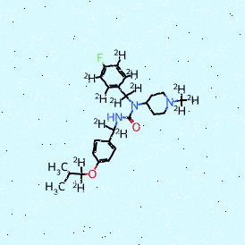 [2H]c1c([2H])c(C([2H])([2H])N(C(=O)NC([2H])([2H])c2ccc(OC([2H])([2H])C(C)C)cc2)C2CCN(C([2H])([2H])[2H])CC2)c([2H])c([2H])c1F